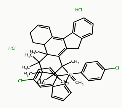 Cl.Cl.[CH2]=[Zr]([C]1=CC=CC1)([c]1ccc(Cl)cc1)([c]1ccc(Cl)cc1)[C]1(C)C2=C3Cc4ccccc4C3=C3C=CCCC3C2(C)C(C)(C)C(C)(C)C1(C)C